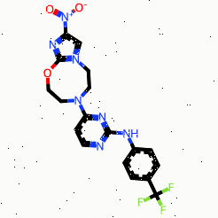 O=[N+]([O-])c1cn2c(n1)OCCN(c1ccnc(Nc3ccc(C(F)(F)F)cc3)n1)CC2